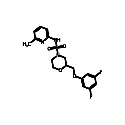 Cc1cccc(NS(=O)(=O)N2CCOC(COc3cc(F)cc(F)c3)C2)n1